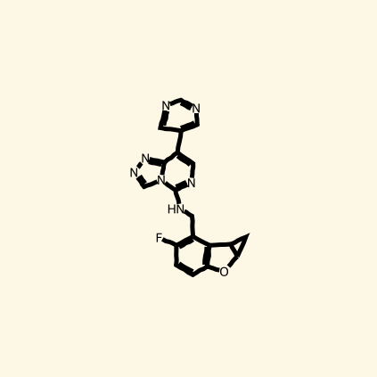 Fc1ccc2c(c1CNc1ncc(-c3cncnc3)c3nncn13)C1CC1O2